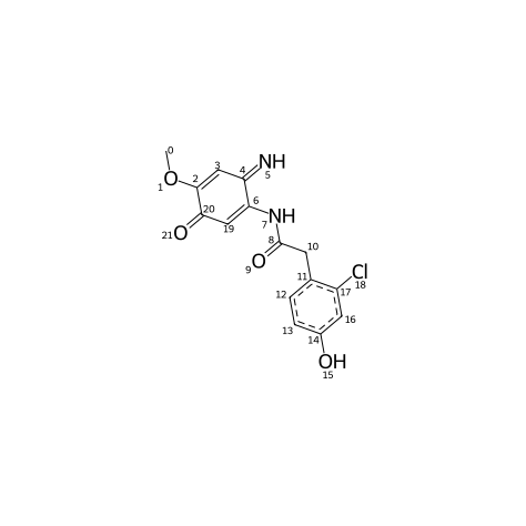 COC1=CC(=N)C(NC(=O)Cc2ccc(O)cc2Cl)=CC1=O